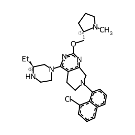 CC[C@H]1CN(c2nc(OC[C@@H]3CCCN3C)nc3c2CCN(c2cccc4cccc(Cl)c24)C3)CCN1